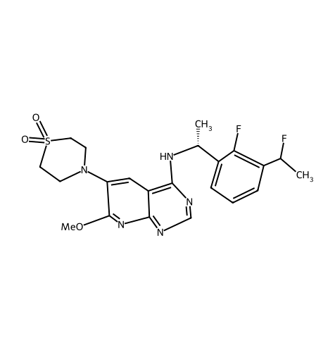 COc1nc2ncnc(N[C@H](C)c3cccc(C(C)F)c3F)c2cc1N1CCS(=O)(=O)CC1